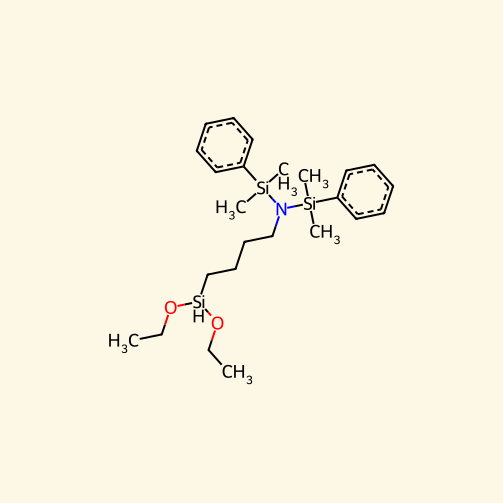 CCO[SiH](CCCCN([Si](C)(C)c1ccccc1)[Si](C)(C)c1ccccc1)OCC